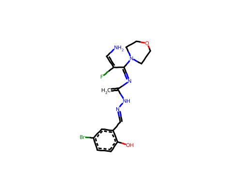 C=C(/N=C(\C(F)=C/N)N1CCOCC1)N/N=C/c1cc(Br)ccc1O